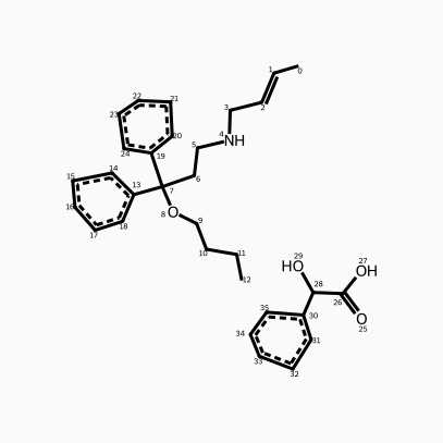 CC=CCNCCC(OCCCC)(c1ccccc1)c1ccccc1.O=C(O)C(O)c1ccccc1